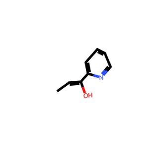 C/C=C(\O)c1ccccn1